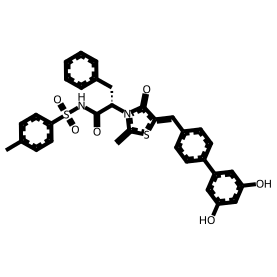 C=c1s/c(=C\c2ccc(-c3cc(O)cc(O)c3)cc2)c(=O)n1[C@@H](Cc1ccccc1)C(=O)NS(=O)(=O)c1ccc(C)cc1